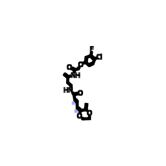 C=C(CCNC(=O)/C=C/C=C1/OCCOC1=C)NC(=O)COc1ccc(Cl)c(F)c1